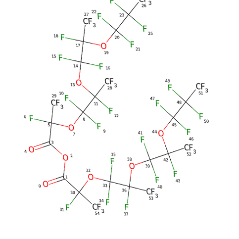 O=C(OC(=O)C(F)(OC(F)(F)C(F)(OC(F)(F)C(F)(OC(F)(F)C(F)(F)C(F)(F)F)C(F)(F)F)C(F)(F)F)C(F)(F)F)C(F)(OC(F)(F)C(F)(OC(F)(F)C(F)(OC(F)(F)C(F)(F)C(F)(F)F)C(F)(F)F)C(F)(F)F)C(F)(F)F